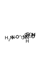 NN=Cc1ccc(CC2CCCN(C(=O)NC(Cc3cccnc3)C(=O)O)C2)cc1